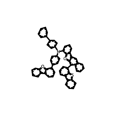 c1ccc(-c2ccc(N(c3ccc(-c4cccc5c4oc4ccccc45)cc3)c3cccc4c3oc3c(-c5cccc6c5sc5ccccc56)c5ccccc5cc34)cc2)cc1